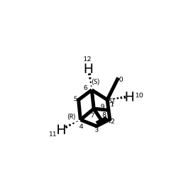 C[C@H]1[C]=C[C@H]2C[C@@H]1C2(C)C